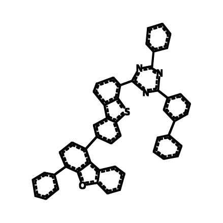 c1ccc(-c2cccc(-c3nc(-c4ccccc4)nc(-c4cccc5c4sc4ccc(-c6ccc(-c7ccccc7)c7oc8ccccc8c67)cc45)n3)c2)cc1